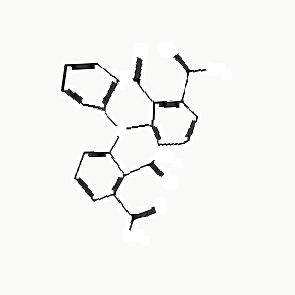 CC(=O)c1cccc(P(c2ccccc2)c2cccc(C(C)=O)c2C(C)=O)c1C(C)=O